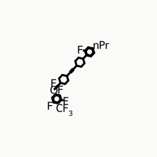 CCCc1ccc(C2CCC(C#CC3CCC(C(F)(F)Oc4cc(F)c(C(F)(F)F)c(F)c4)CC3)CC2)c(F)c1